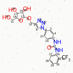 O=C(Nc1ccc(-n2cc(COC3OC(CO)C(O)C3O)nn2)cc1)Nc1ccccc1C(F)(F)F